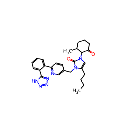 CCCCc1cn(C2C(=O)CCCC2C)c(=O)n1Cc1ccc(-c2ccccc2-c2nnn[nH]2)nc1